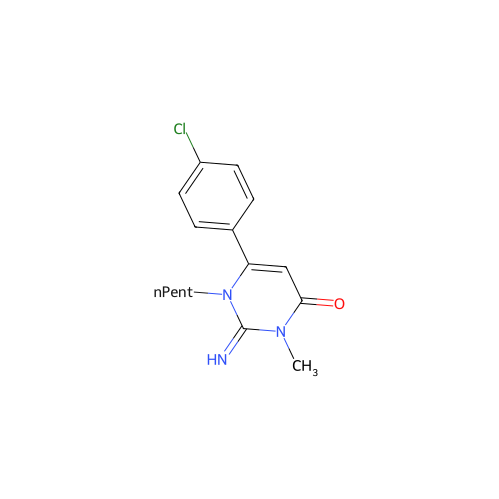 CCCCCn1c(-c2ccc(Cl)cc2)cc(=O)n(C)c1=N